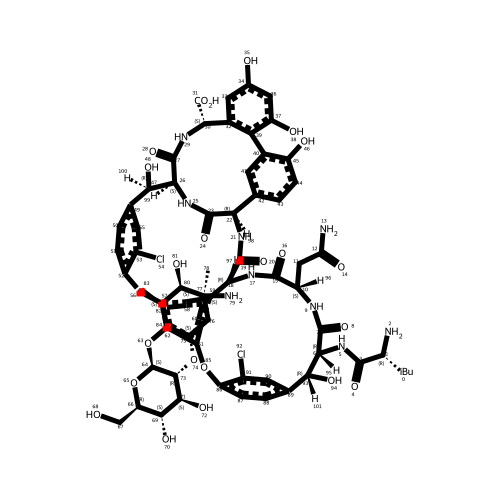 CCC(C)[C@@H](N)C(=O)N[C@H]1C(=O)N[C@@H](CC(N)=O)C(=O)N[C@H]2C(=O)N[C@H]3C(=O)N[C@H](C(=O)N[C@H](C(=O)O)c4cc(O)cc(O)c4-c4cc3ccc4O)[C@H](O)c3ccc(c(Cl)c3)Oc3cc2cc(c3O[C@@H]2O[C@H](CO)[C@@H](O)[C@H](O)[C@H]2O[C@H]2C[C@](C)(N)[C@H](O)[C@H](C)O2)Oc2ccc(cc2Cl)[C@H]1O